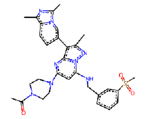 CC(=O)N1CCN(c2cc(NCc3cccc(S(C)(=O)=O)c3)n3nc(C)c(-c4ccc5c(C)nc(C)n5c4)c3n2)CC1